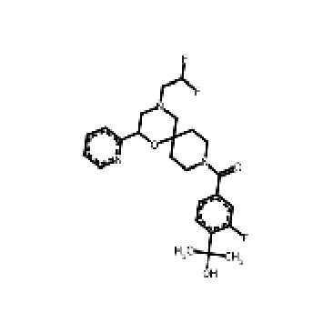 CC(C)(O)c1ccc(C(=O)N2CCC3(CC2)CN(CC(F)F)CC(c2ccccn2)O3)cc1F